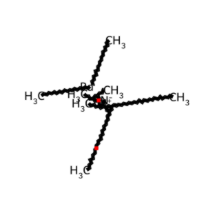 CCCCCCCCCCCCCCCCCCCCCCC=Cc1cc(C=CCCCCCCCCCCCCCCCCCCCCCC)cc(C2=CC(CCCC)=C(c3cc(CCCC)cc(CCCC)c3)[N+]2=[N-])c1.CCCCCCCCCCCCCCCCCC[CH2][Pd][CH2]CCCCCCCCCCCCCCCCCC